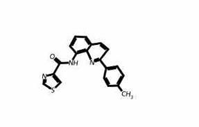 Cc1ccc(-c2ccc3cccc(NC(=O)c4cscn4)c3n2)cc1